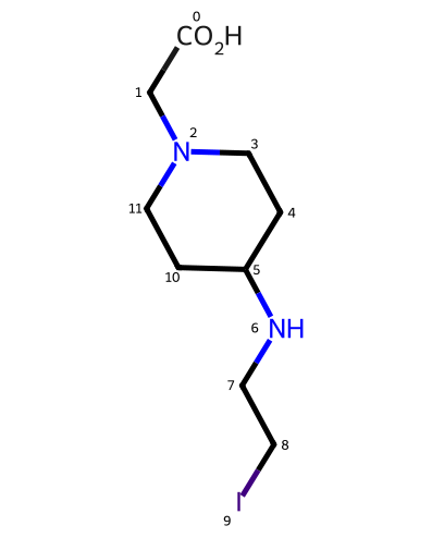 O=C(O)CN1CCC(NCCI)CC1